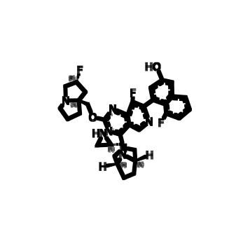 Oc1cc(-c2ncc3c(N4C[C@H]5CC[C@@H](C4)N5C[C@@H]4CN4)nc(OC[C@@]45CCCN4C[C@H](F)C5)nc3c2F)c2c(F)cccc2c1